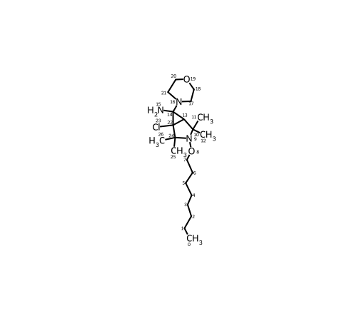 CCCCCCCCON1C(C)(C)C2C(N)(N3CCOCC3)C2(Cl)C1(C)C